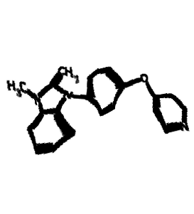 C=C1N(C)c2ccccc2N1c1ccc(OC2=CC=NCC2)cc1